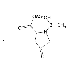 COC(=O)[C@H]1CC(=O)CN1B(C)O